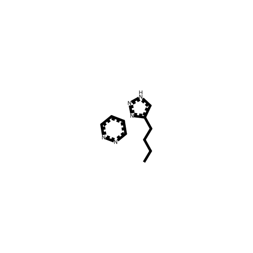 CCCCc1c[nH]nn1.c1ccnnc1